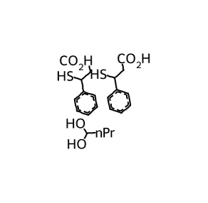 CCCC(O)O.O=C(O)CC(S)c1ccccc1.O=C(O)CC(S)c1ccccc1